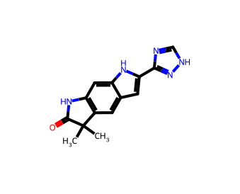 CC1(C)C(=O)Nc2cc3[nH]c(-c4nc[nH]n4)cc3cc21